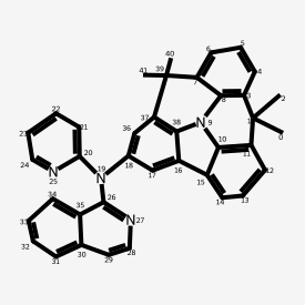 CC1(C)c2cccc3c2-n2c4c1cccc4c1cc(N(c4ccccn4)c4nccc5ccccc45)cc(c12)C3(C)C